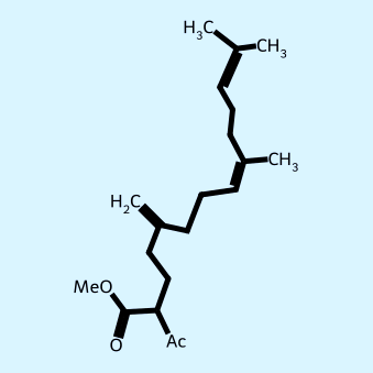 C=C(CCC=C(C)CCC=C(C)C)CCC(C(C)=O)C(=O)OC